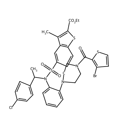 CCOC(=O)c1sc2ccc(S(=O)(=O)N(c3ccccc3N3CCN(C(=O)c4sccc4Br)CC3)C(C)c3ccc(Cl)cc3)cc2c1C